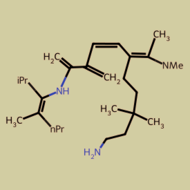 C=C(/C=C\C(CCC(C)(C)CCN)=C(/C)NC)C(=C)N/C(=C(/C)CCC)C(C)C